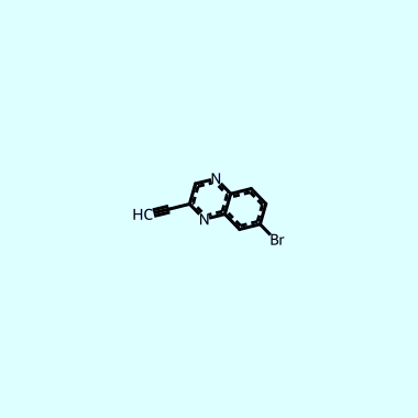 C#Cc1cnc2ccc(Br)cc2n1